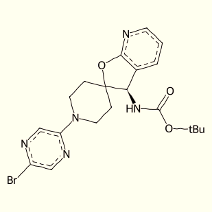 CC(C)(C)OC(=O)N[C@@H]1c2cccnc2OC12CCN(c1cnc(Br)cn1)CC2